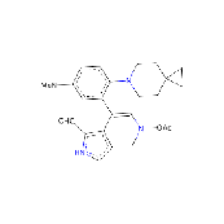 CNc1ccc(N2CCC3(CC2)CC3)c(/C(=C/N(C)OC(C)=O)c2cc[nH]c2C=O)c1